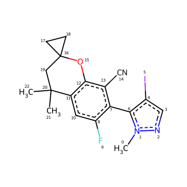 Cn1ncc(I)c1-c1c(F)cc2c(c1C#N)OC1(CC1)CC2(C)C